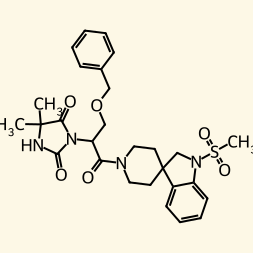 CC1(C)NC(=O)N(C(COCc2ccccc2)C(=O)N2CCC3(CC2)CN(S(C)(=O)=O)c2ccccc23)C1=O